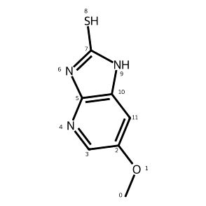 COc1cnc2nc(S)[nH]c2c1